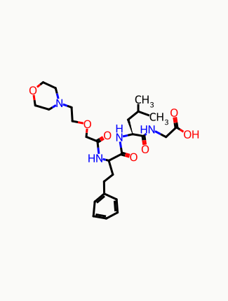 CC(C)C[C@H](NC(=O)C(CCc1ccccc1)NC(=O)COCCN1CCOCC1)C(=O)NCC(=O)O